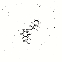 Cc1[nH]c(=O)n(NCC(F)(F)c2ccccn2)c(=O)c1CC(=O)O